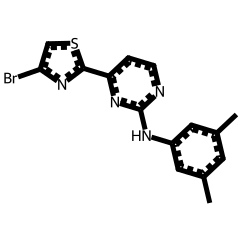 Cc1cc(C)cc(Nc2nccc(-c3nc(Br)cs3)n2)c1